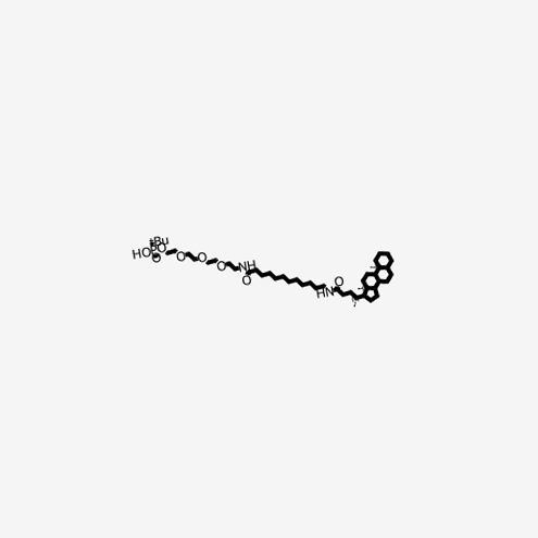 C[C@H](CCC(=O)NCCCCCCCCCCCC(=O)NCCOCCOCCOCCOP(=O)(O)C(C)(C)C)C1CCC2C3CCC4CCCC[C@]4(C)C3CC[C@@]21C